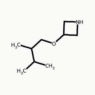 CC(C)C(C)COC1CNC1